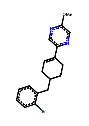 COc1cnc(C2=CCC(Cc3ccccc3Br)CC2)cn1